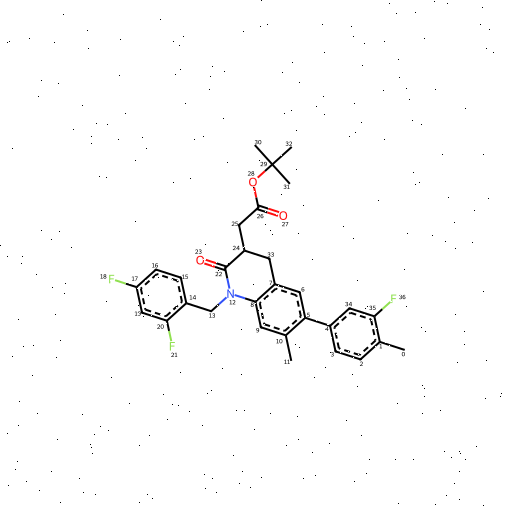 Cc1ccc(-c2cc3c(cc2C)N(Cc2ccc(F)cc2F)C(=O)C(CC(=O)OC(C)(C)C)C3)cc1F